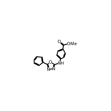 COC(=O)c1ccc(Nc2nnc(-c3ccccc3)o2)cc1